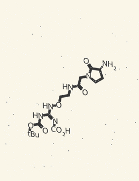 CC(C)(C)OC(=O)NC(=NC(=O)O)NOCCNC(=O)CN1CC[C@H](N)C1=O